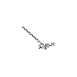 CCCCCCCCCCCCOC[C@H](COP(=O)(O)OCC[N+](C)(C)C)OC(C)=O